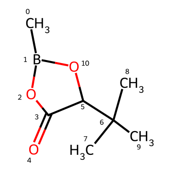 CB1OC(=O)C(C(C)(C)C)O1